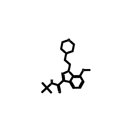 COc1cccc2c(C(=O)NC(C)(C)C)nn(CCN3CCOCC3)c12